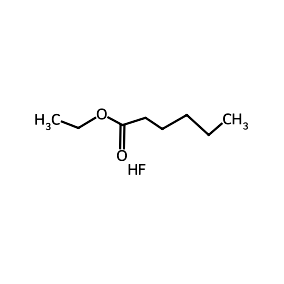 CCCCCC(=O)OCC.F